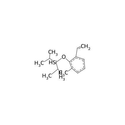 C=Cc1cccc(C)c1O[SiH](C(C)C)C(C)C